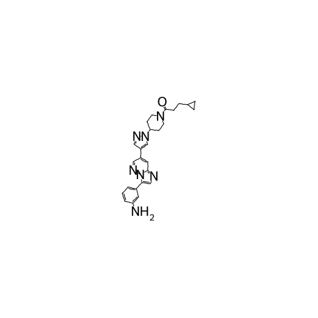 Nc1cccc(-c2cnc3cc(-c4cnn(C5CCN(C(=O)CCC6CC6)CC5)c4)cnn23)c1